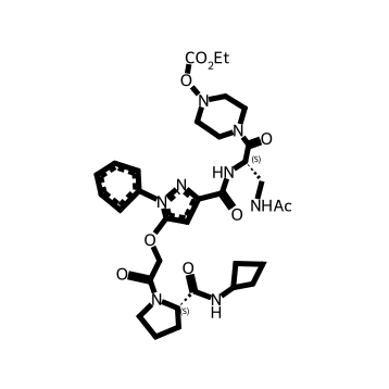 CCOC(=O)ON1CCN(C(=O)[C@H](CNC(C)=O)NC(=O)c2cc(OCC(=O)N3CCC[C@H]3C(=O)NC3CCC3)n(-c3ccccc3)n2)CC1